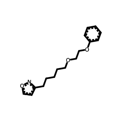 c1ccc(OCCOCCCCCc2ccon2)cc1